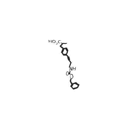 C[C@@H](Cc1ccc(C#CCCNC(=O)OCc2ccccc2)cc1)C(=O)O